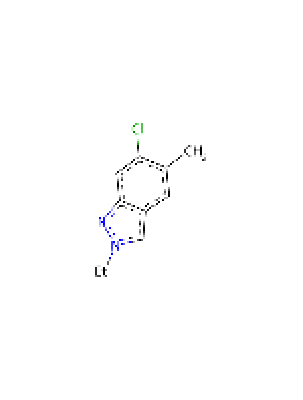 CCn1cc2cc(C)c(Cl)cc2n1